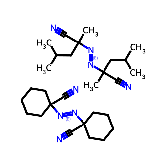 CC(C)CC(C)(C#N)/N=N/C(C)(C#N)CC(C)C.N#CC1(/N=N/C2(C#N)CCCCC2)CCCCC1